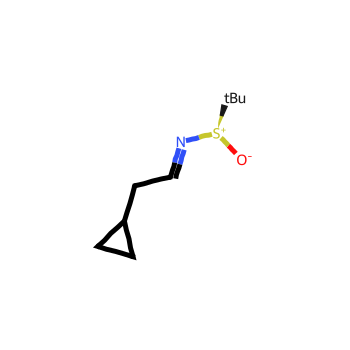 CC(C)(C)[S@@+]([O-])N=CCC1CC1